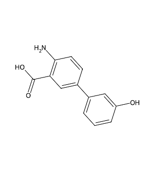 Nc1ccc(-c2cccc(O)c2)cc1C(=O)O